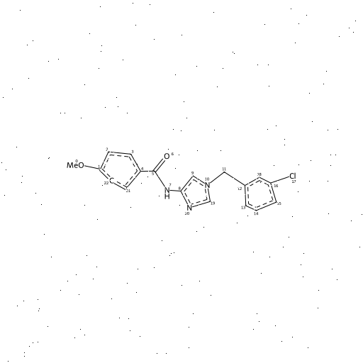 COc1ccc(C(=O)Nc2cn(Cc3cccc(Cl)c3)cn2)cc1